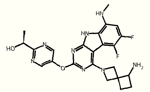 CNc1cc(F)c(F)c2c1[nH]c1nc(Oc3cnc([C@H](C)O)nc3)nc(N3CC4(CCC4N)C3)c12